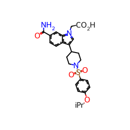 CC(C)Oc1ccc(S(=O)(=O)N2CCC(c3cn(CC(=O)O)c4cc(C(N)=O)ccc34)CC2)cc1